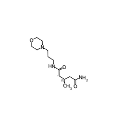 C[C@@H]([CH]C(=O)NCCCN1CCOCC1)CC(N)=O